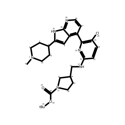 CN1CCC(c2cc3c(-c4nc(NCC5CCN(C(=O)OC(C)(C)C)C5)ccc4Cl)ccnc3[nH]2)CC1